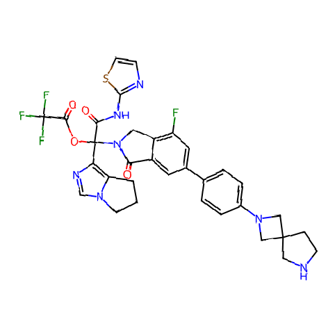 O=C1c2cc(-c3ccc(N4CC5(CCNC5)C4)cc3)cc(F)c2CN1C(OC(=O)C(F)(F)F)(C(=O)Nc1nccs1)c1ncn2c1CCC2